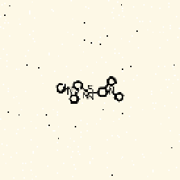 c1ccc(-n2c3ccccc3c3cc(-c4nnc(-c5cccc6c5c5ccccc5n6-c5ccccc5)s4)ccc32)cc1